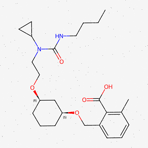 CCCCNC(=O)N(CCO[C@@H]1CCC[C@H](OCc2cccc(C)c2C(=O)O)C1)C1CC1